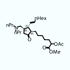 CCCCCCC=C[C@H]1[C@H](CN(CCC)CCC)CC(=O)[C@@H]1CCCCCC(OC(C)=O)C(=O)OC